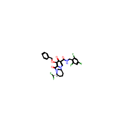 O=C(NCc1c(F)cc(F)cc1F)c1cn2c(c(OCc3ccccc3)c1=O)C(=O)N1CC2CCC[C@@H]1C(F)F